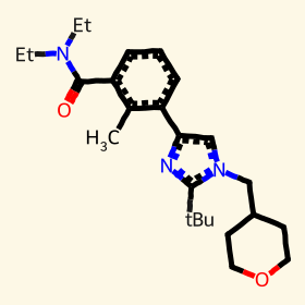 CCN(CC)C(=O)c1cccc(-c2cn(CC3CCOCC3)c(C(C)(C)C)n2)c1C